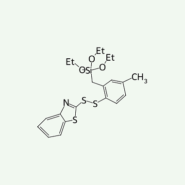 CCO[Si](Cc1cc(C)ccc1SSc1nc2ccccc2s1)(OCC)OCC